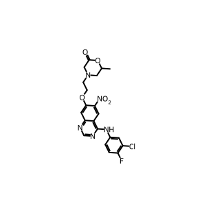 CC1CN(CCOc2cc3ncnc(Nc4ccc(F)c(Cl)c4)c3cc2[N+](=O)[O-])CC(=O)O1